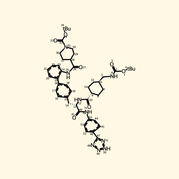 CC(C)(C)OC(=O)NC[C@H]1CC[C@H](C(=O)N[C@@H](Cc2ccc(-c3ccccc3NC(=O)C3CCN(C(=O)OC(C)(C)C)CC3)cc2)C(=O)Nc2ccc(-c3nn[nH]n3)cc2)CC1